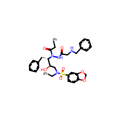 CC(C)CC(=O)N(NC(=O)CNCc1ccccc1)[C@@H](Cc1ccccc1)[C@H](O)CN(CC(C)C)S(=O)(=O)c1ccc2c(c1)OCO2